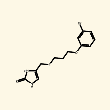 S=c1[nH]cc(CSCCCOc2cccc(Br)c2)[nH]1